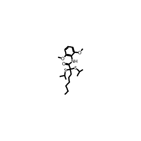 CCCCCCC(SC(C)C)(SC(C)C)C(=O)Nc1c(OC)cccc1OC